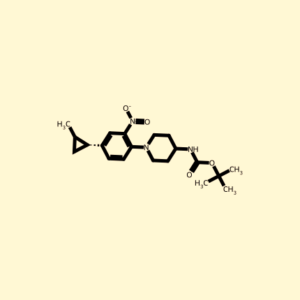 CC1C[C@H]1c1ccc(N2CCC(NC(=O)OC(C)(C)C)CC2)c([N+](=O)[O-])c1